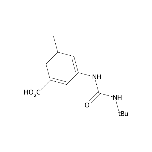 CC1C=C(NC(=O)NC(C)(C)C)C=C(C(=O)O)C1